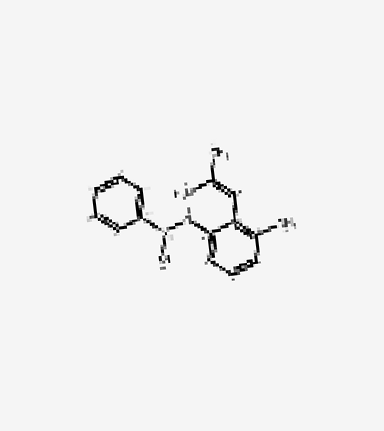 C/C(N)=C/c1c(N)cccc1NN(O)c1ccccc1